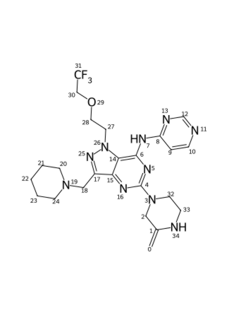 C=C1CN(c2nc(Nc3ccncn3)c3c(n2)c(CN2CCCCC2)nn3CCOCC(F)(F)F)CCN1